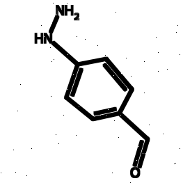 NNc1ccc(C=O)cc1